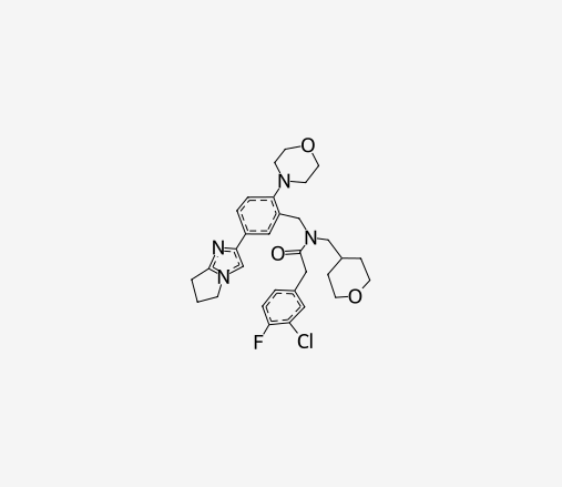 O=C(Cc1ccc(F)c(Cl)c1)N(Cc1cc(-c2cn3c(n2)CCC3)ccc1N1CCOCC1)CC1CCOCC1